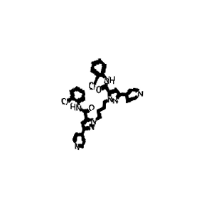 O=C(Nc1ccccc1Cl)c1cc(-c2ccncc2)nn1CCCCn1nc(-c2ccncc2)cc1C(=O)Nc1ccccc1Cl